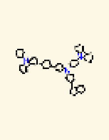 c1ccc(-n2c3ccccc3c3cc(-c4ccc(-c5ccc(N(c6ccc(-c7cccc8ccccc78)cc6)c6ccc(-n7c8ccccc8c8ccccc87)cc6)cc5)cc4)ccc32)cc1